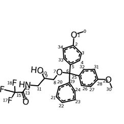 COc1ccc(C(OCC(O)CNC(=O)C(F)(F)F)(c2ccccc2)c2ccc(OC)cc2)cc1